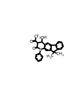 CC1(C)c2ccccc2-c2cc3c(cc21)N(c1ccccc1)C(=O)C(C(=O)C(F)(F)F)C3O